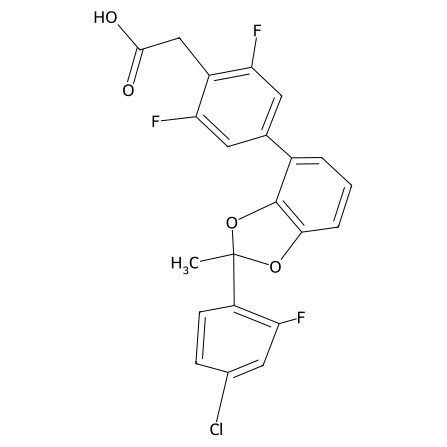 CC1(c2ccc(Cl)cc2F)Oc2cccc(-c3cc(F)c(CC(=O)O)c(F)c3)c2O1